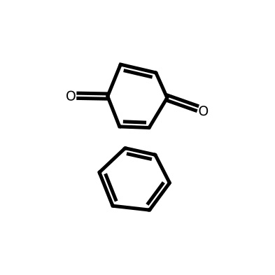 O=C1C=CC(=O)C=C1.c1ccccc1